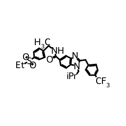 CCS(=O)(=O)c1ccc(C(C)NC(=O)c2ccc3c(c2)nc(Cc2ccc(C(F)(F)F)cc2)n3CC(C)C)cc1